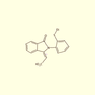 CCSc1ccccc1N1C(=O)c2ccccc2/C1=C\C(=O)O